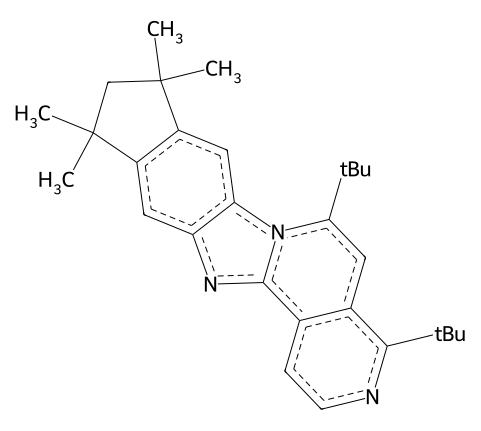 CC(C)(C)c1nccc2c1cc(C(C)(C)C)n1c3cc4c(cc3nc21)C(C)(C)CC4(C)C